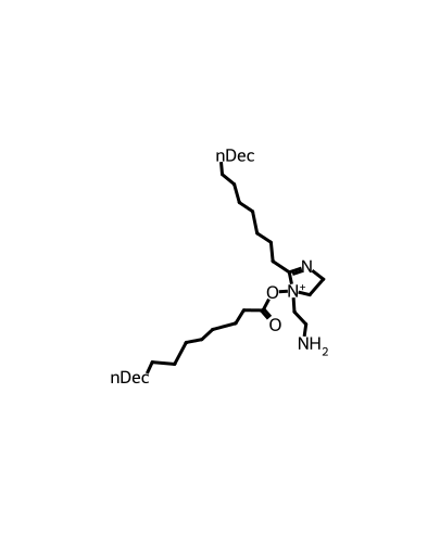 CCCCCCCCCCCCCCCCCC(=O)O[N+]1(CCN)CCN=C1CCCCCCCCCCCCCCCCC